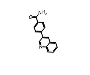 NC(=O)c1ccc(-c2cnc3ccccc3c2)cc1